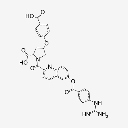 N=C(N)Nc1ccc(C(=O)Oc2ccc3nc(C(=O)N4C[C@@H](Oc5ccc(C(=O)O)cc5)C[C@H]4C(=O)O)ccc3c2)cc1